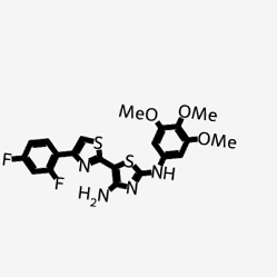 COc1cc(Nc2nc(N)c(-c3nc(-c4ccc(F)cc4F)cs3)s2)cc(OC)c1OC